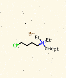 CCCCCCC[N+](CC)(CC)CCCCCl.[Br-]